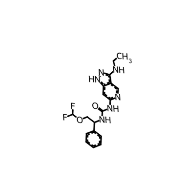 CCNc1n[nH]c2cc(NC(=O)NC(COC(F)F)c3ccccc3)ncc12